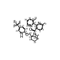 Cc1ccc(C(=O)N2CC3CCC2(COC2C=CC(C(F)(F)F)=CN2)C3)c(-c2ncccc2C)n1